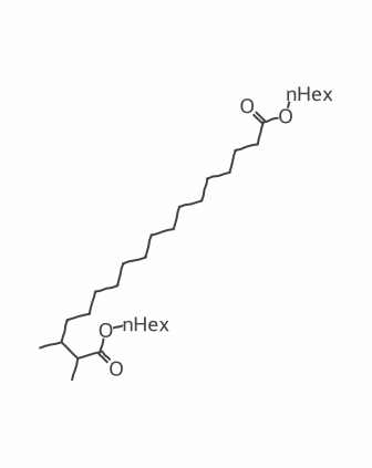 CCCCCCOC(=O)CCCCCCCCCCCCCCC(C)C(C)C(=O)OCCCCCC